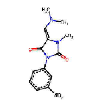 CN(C)C=C1C(=O)N(c2cccc([N+](=O)[O-])c2)C(=O)N1C